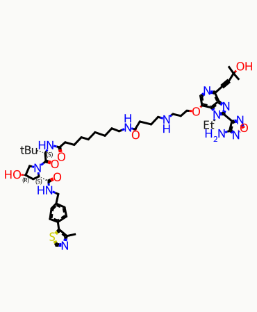 CCn1c(-c2nonc2N)nc2c(C#CC(C)(C)O)ncc(OCCCNCCCC(=O)NCCCCCCCCC(=O)N[C@H](C(=O)N3C[C@H](O)C[C@H]3C(=O)NCc3ccc(-c4scnc4C)cc3)C(C)(C)C)c21